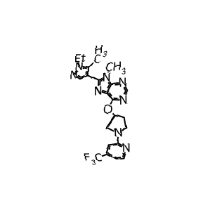 CCn1ncc(-c2nc3c(O[C@H]4CCN(c5cc(C(F)(F)F)ccn5)C4)ncnc3n2C)c1C